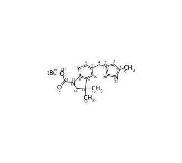 Cc1cn(Cc2ccc3c(c2)C(C)(C)CN3C(=O)OC(C)(C)C)cn1